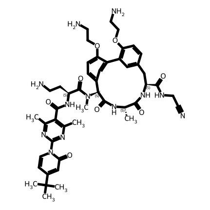 Cc1nc(-n2ccc(C(C)(C)C)cc2=O)nc(C)c1C(=O)N[C@@H](CCN)C(=O)N(C)[C@@H]1C(=O)N[C@@H](C)C(=O)N[C@H](C(=O)NCC#N)Cc2ccc(OCCN)c(c2)-c2cc1ccc2OCCN